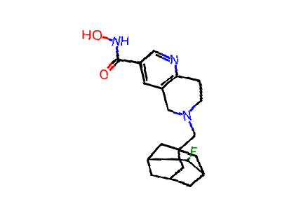 O=C(NO)c1cnc2c(c1)CN(CC13CC4CC(C1)C(F)C(C4)C3)CC2